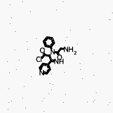 N=C(c1ccncc1)[C@@H](C(=O)Cl)N(C(=O)CN)c1ccccc1